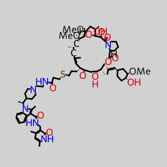 CO[C@H]1C[C@@H](C)C/C(C)=C/[C@@H](CCCSCCC(=O)NCCN2CCC([C@H](C)n3c(C)c(C(=O)NCc4c(C)cc(C)[nH]c4=O)c4ccccc43)CC2)C(=O)C[C@H](O)[C@@H](C)[C@@H](/C(C)=C/[C@@H]2CC[C@@H](O)[C@H](OC)C2)OC(=O)[C@@H]2CCCCN2C(=O)C(=O)[C@]2(O)O[C@H]1[C@@H](OC)C[C@H]2C